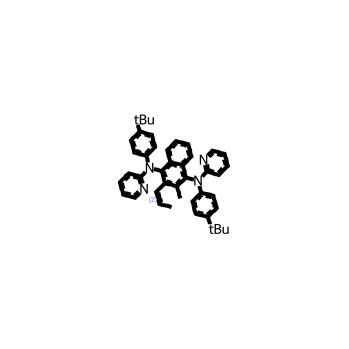 C/C=C\c1c(C)c(N(c2ccc(C(C)(C)C)cc2)c2ccccn2)c2ccccc2c1N(c1ccc(C(C)(C)C)cc1)c1ccccn1